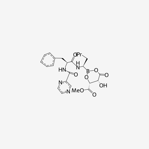 COC(=O)[C@@H]1OB([C@H](CC(C)C)NC(=O)[C@H](Cc2ccccc2)NC(=O)c2cnccn2)OC(=O)[C@@H]1O